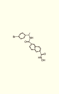 CC(NC(=O)c1ccc2cc(C(=O)NO)ccc2c1)c1ccc(Br)cc1